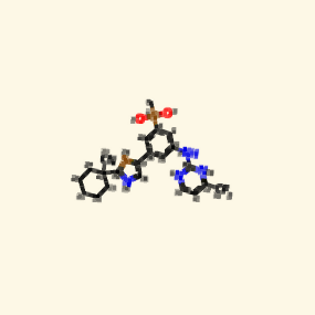 CS(=O)(=O)c1cc(Nc2nccc(C(F)(F)F)n2)cc(-c2cnc(C3(C#N)CCCCC3)s2)c1